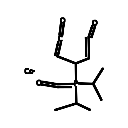 CC(C)P(=C=O)(C(C)C)C(C=C=O)C=C=O.[Co]